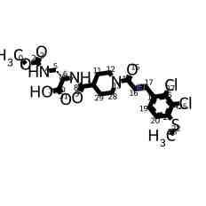 COC(=O)NC[C@H](NC(=O)C1CCN(C(=O)/C=C/c2ccc(SC)c(Cl)c2Cl)CC1)C(=O)O